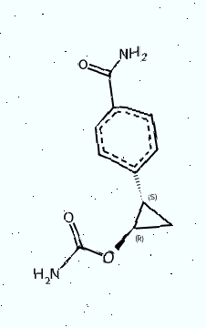 NC(=O)O[C@@H]1C[C@H]1c1ccc(C(N)=O)cc1